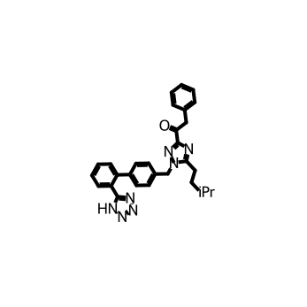 CC(C)CCc1nc(C(=O)Cc2ccccc2)nn1Cc1ccc(-c2ccccc2-c2nnn[nH]2)cc1